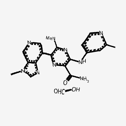 CNc1nc(Nc2ccnc(C)c2)c(C(N)=O)nc1-c1cncc2c1ncn2C.O=CO